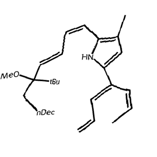 C=C/C=C(\C=C/C)c1cc(C)c(/C=C\C=C\C(CCCCCCCCCCC)(OC)C(C)(C)C)[nH]1